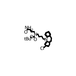 CC(C)(C)OC(=O)N(C/C=C/C(N)=O)CCCCN1C2=CC(Cl)=CCC2=CCc2ccccc21